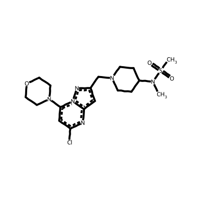 CN(C1CCN(Cc2cc3nc(Cl)cc(N4CCOCC4)n3n2)CC1)S(C)(=O)=O